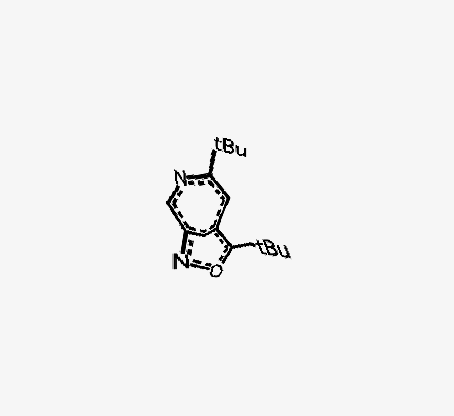 CC(C)(C)c1cc2c(C(C)(C)C)onc2cn1